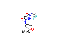 CNC(=O)c1ccc(N2COc3cc(C(=O)N4CC(C)C(F)(F)C4)[nH]c32)cc1C